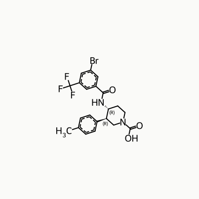 Cc1ccc([C@@H]2CN(C(=O)O)CC[C@H]2NC(=O)c2cc(Br)cc(C(F)(F)F)c2)cc1